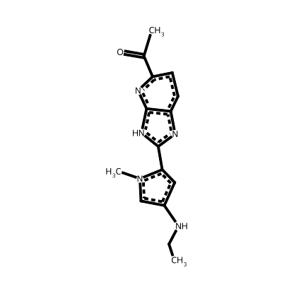 CCNc1cc(-c2nc3ccc(C(C)=O)nc3[nH]2)n(C)c1